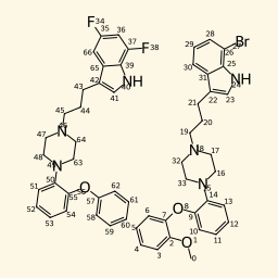 COc1ccccc1Oc1ccccc1N1CCN(CCCc2c[nH]c3c(Br)cccc23)CC1.Fc1cc(F)c2[nH]cc(CCCN3CCN(c4ccccc4Oc4ccccc4)CC3)c2c1